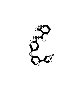 Cn1cc(-c2cc(Oc3ccc(NC(=O)c4ccc[nH]c4=O)nc3)ccn2)cn1